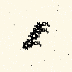 Cc1cc2ncnn2nc1C1CCN(S(=O)(=O)c2cnc(C)n2C)CC1